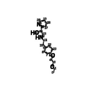 CCOCCOc1ccc(CCNCC(O)c2ccccn2)cc1